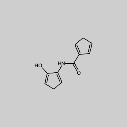 O=C(NC1=CCC=C1O)C1=CCC=C1